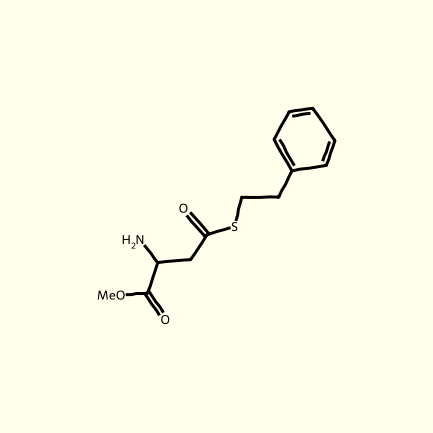 COC(=O)C(N)CC(=O)SCCc1ccccc1